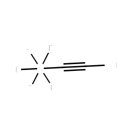 CC#CS(F)(F)(F)(F)F